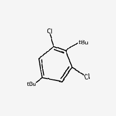 CC(C)(C)c1cc(Cl)c(C(C)(C)C)c(Cl)c1